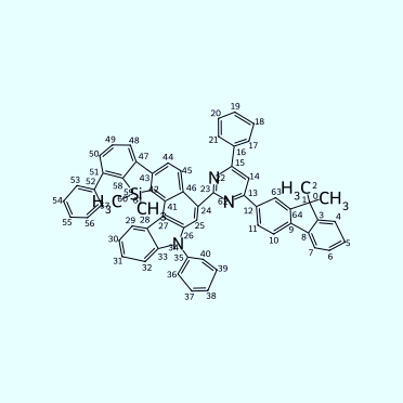 CC1(C)c2ccccc2-c2ccc(-c3cc(-c4ccccc4)nc(-c4cc5c(c6ccccc6n5-c5ccccc5)c5c6c(ccc45)-c4cccc(-c5ccccc5)c4[Si]6(C)C)n3)cc21